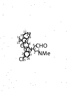 CNCCC(CC=O)n1c(CN2C(=O)C3(CC3)c3ccncc32)nc2cc(Cl)ccc21